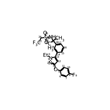 CCn1nc(Oc2ccc(F)cc2)cc1-c1cccc(C(C)(C)NS(=O)(=O)CC(F)(F)F)c1